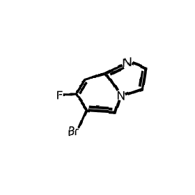 Fc1cc2nccn2cc1Br